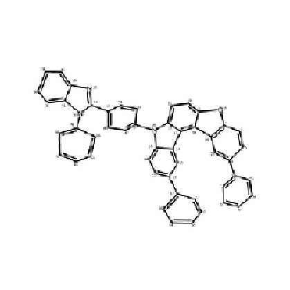 c1ccc(-c2ccc3oc4ccc5c(c6cc(-c7ccccc7)ccc6n5-c5ccc(-c6nc7ccccc7n6-c6ccccc6)cc5)c4c3c2)cc1